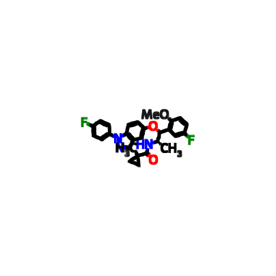 COc1ccc(F)cc1C(Oc1ccc2c(cnn2-c2ccc(F)cc2)c1)[C@H](C)NC(=O)C1(C)CC1